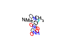 CN[C@@H]1CCCC[C@H]1N(C)c1cc2c(cc1F)C(=O)N(C1CCC(=O)NC1=O)C2=O